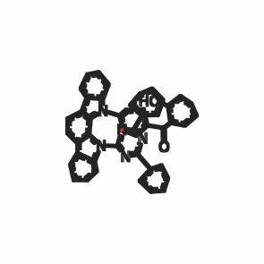 O=C(c1ccc(-n2c3ccccc3c3ccc4c5ccccc5n(-c5nc(-c6ccccc6)nc(-c6ccccc6)n5)c4c32)cc1)c1ccccc1O